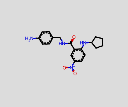 Nc1ccc(CNC(=O)c2cc([N+](=O)[O-])ccc2NC2CCCC2)cc1